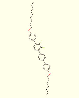 CCCCCCCCCOc1ccc(-c2ccc(-c3ccc(-c4ccc(OCCCCCCC)cc4)cc3)c(F)c2F)cc1